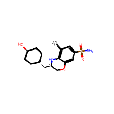 NS(=O)(=O)c1cc2c(c([N+](=O)[O-])c1)N[C@H](C[C@H]1CC[C@H](O)CC1)CO2